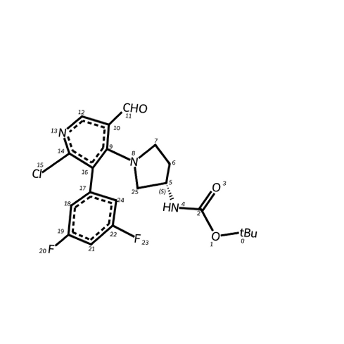 CC(C)(C)OC(=O)N[C@H]1CCN(c2c(C=O)cnc(Cl)c2-c2cc(F)cc(F)c2)C1